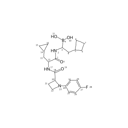 O=C(NC(CC1CCC1)B(O)O)C(CC1CC1)NC(=O)C1CCN1c1ccc(F)cc1